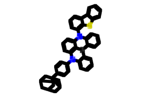 c1ccc2c(c1)B1c3ccccc3N(c3cccc4c3sc3ccccc34)c3cccc(c31)N2c1ccc(C23CC4CC(CC(C4)C2)C3)cc1